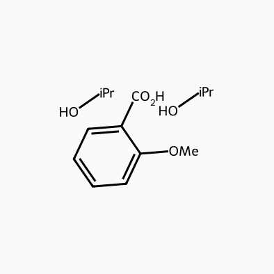 CC(C)O.CC(C)O.COc1ccccc1C(=O)O